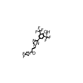 O=C(/C=C/n1cnc(-c2cc(C(F)(F)F)c(O)c(C(F)(F)F)c2)n1)N1CC(F)(F)C1